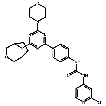 O=C(Nc1ccc(-c2nc(N3CCOCC3)nc(N3C4CCC3COC4)n2)cc1)Nc1ccnc(Cl)c1